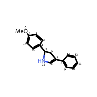 COc1ccc(C2CC(c3ccccc3)=CN2)cc1